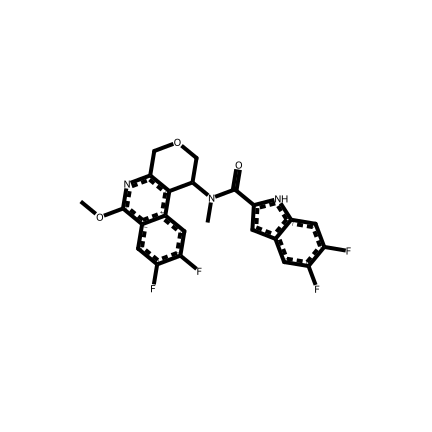 COc1nc2c(c3cc(F)c(F)cc13)C(N(C)C(=O)c1cc3cc(F)c(F)cc3[nH]1)COC2